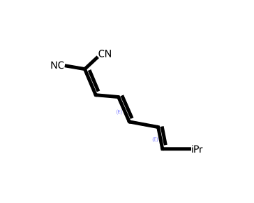 CC(C)/C=C/C=C/C=C(C#N)C#N